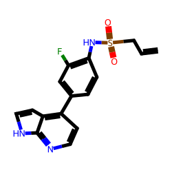 C=CCS(=O)(=O)Nc1ccc(-c2ccnc3[nH]ccc23)cc1F